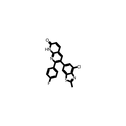 Cc1nc2c(Cl)cc(-c3cc4ccc(=O)[nH]c4nc3-c3ccc(F)cc3)cc2s1